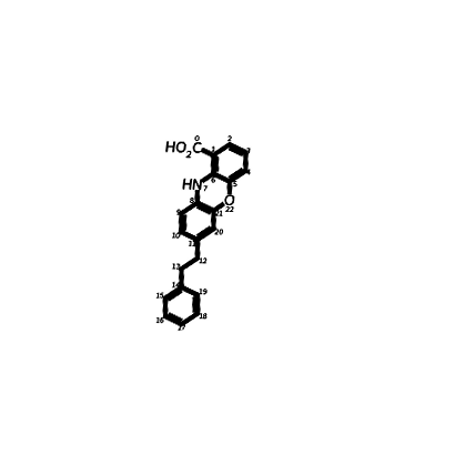 O=C(O)c1cccc2c1Nc1ccc(CCc3ccccc3)cc1O2